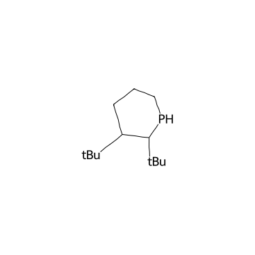 CC(C)(C)C1CCCPC1C(C)(C)C